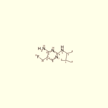 CC(C)C(C)Nc1ncc(CF)c(N)n1